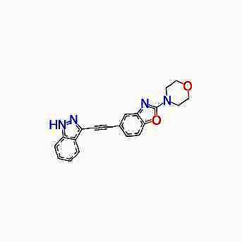 C(#Cc1n[nH]c2ccccc12)c1ccc2oc(N3CCOCC3)nc2c1